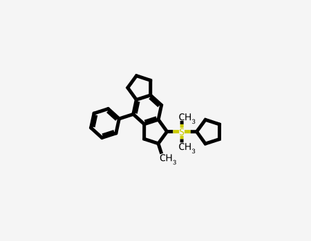 CC1Cc2c(cc3c(c2-c2ccccc2)CCC3)C1S(C)(C)C1CCCC1